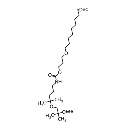 CCCCCCCCCCCCCCCCCCOCCCOC(=O)NCCCC(C)(C)OCC(C)(C)OC